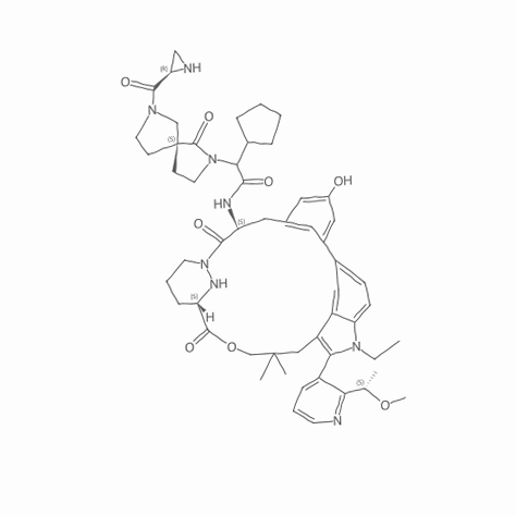 CCn1c(-c2cccnc2[C@H](C)OC)c2c3cc(ccc31)-c1cc(O)cc(c1)C[C@H](NC(=O)C(C1CCCC1)N1CC[C@]3(CCN(C(=O)[C@H]4CN4)C3)C1=O)C(=O)N1CCC[C@H](N1)C(=O)OCC(C)(C)C2